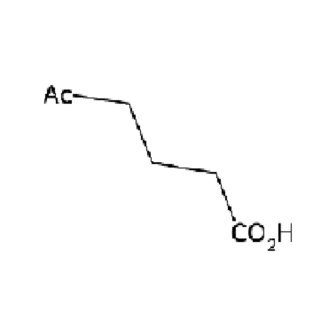 CC(=O)CCCC(=O)O